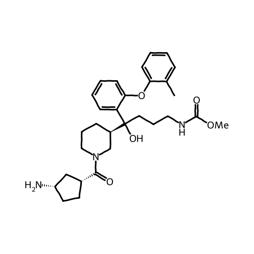 COC(=O)NCCCC(O)(c1ccccc1Oc1ccccc1C)[C@@H]1CCCN(C(=O)[C@@H]2CC[C@H](N)C2)C1